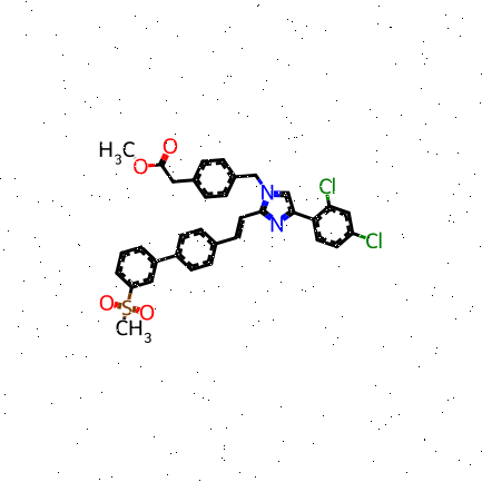 COC(=O)Cc1ccc(Cn2cc(-c3ccc(Cl)cc3Cl)nc2/C=C/c2ccc(-c3cccc(S(C)(=O)=O)c3)cc2)cc1